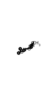 COc1cn2nc(OCCCN3CCC(OC(c4ccccc4)c4ccccc4)CC3)ccc2n1